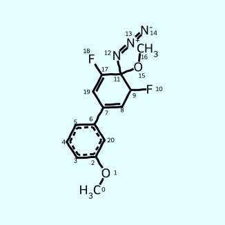 COc1cccc(C2=CC(F)C(N=[N+]=[N-])(OC)C(F)=C2)c1